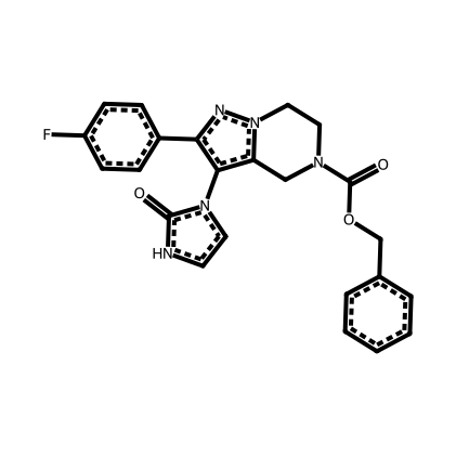 O=C(OCc1ccccc1)N1CCn2nc(-c3ccc(F)cc3)c(-n3cc[nH]c3=O)c2C1